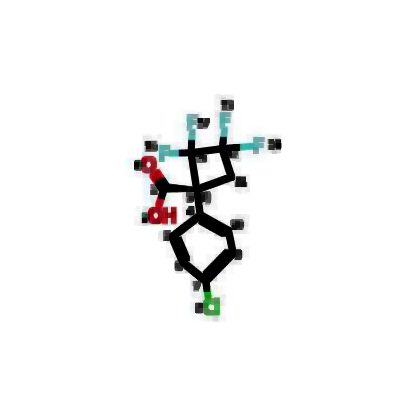 O=C(O)[C@]1(c2ccc(Cl)cc2)CC(F)(F)C1(F)F